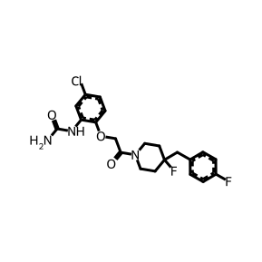 NC(=O)Nc1cc(Cl)ccc1OCC(=O)N1CCC(F)(Cc2ccc(F)cc2)CC1